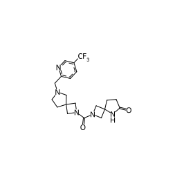 O=C1CCC2(CN(C(=O)N3CC4(CCN(Cc5ccc(C(F)(F)F)cn5)C4)C3)C2)N1